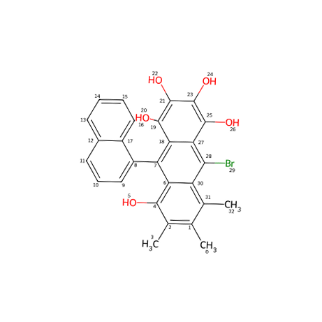 Cc1c(C)c(O)c2c(-c3cccc4ccccc34)c3c(O)c(O)c(O)c(O)c3c(Br)c2c1C